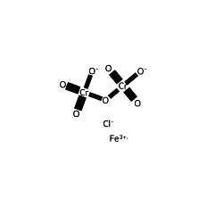 [Cl-].[Fe+3].[O]=[Cr](=[O])([O-])[O][Cr](=[O])(=[O])[O-]